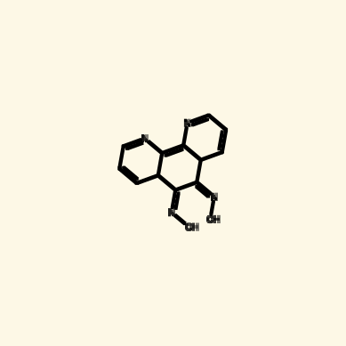 O/N=C1\C(=N/O)C2C=CC=NC2=C2N=CC=CC21